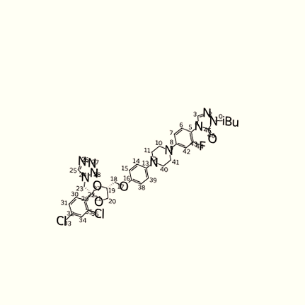 CCC(C)n1ncn(-c2ccc(N3CCN(c4ccc(OC[C@@H]5CO[C@@](Cn6cnnn6)(c6ccc(Cl)cc6Cl)O5)cc4)CC3)cc2F)c1=O